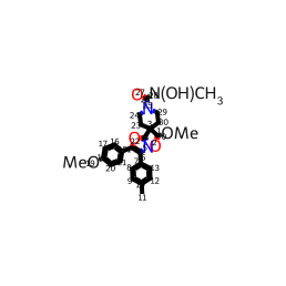 COC(=O)C1(c2nc(-c3ccc(C)cc3)c(-c3ccc(OC)cc3)o2)CCN(C(=O)N(C)O)CC1